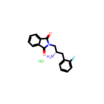 Cl.N[C@@H](Cc1ccccc1F)CN1C(=O)c2ccccc2C1=O